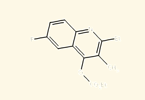 CCOC(=O)Oc1c(C)c(CC)nc2ccc(F)cc12